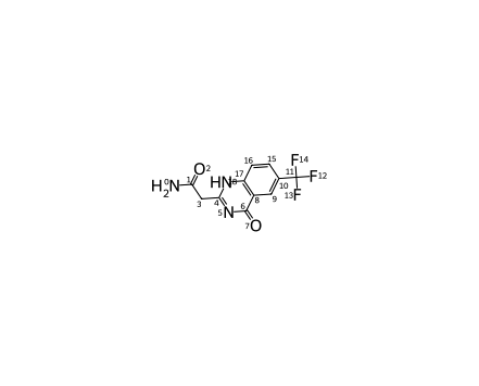 NC(=O)Cc1nc(=O)c2cc(C(F)(F)F)ccc2[nH]1